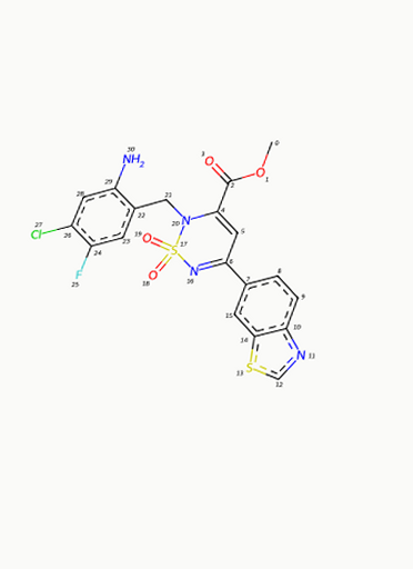 COC(=O)C1=CC(c2ccc3ncsc3c2)=NS(=O)(=O)N1Cc1cc(F)c(Cl)cc1N